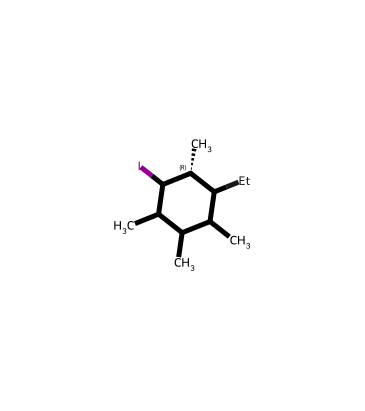 CCC1C(C)C(C)C(C)C(I)[C@@H]1C